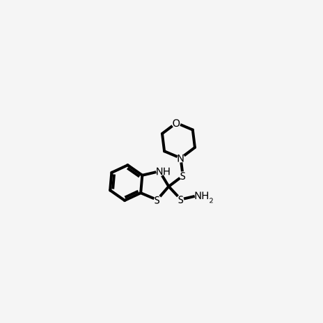 NSC1(SN2CCOCC2)Nc2ccccc2S1